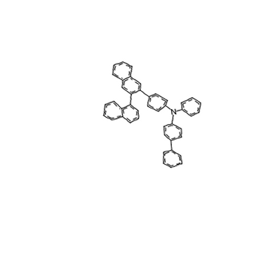 c1ccc(-c2ccc(N(c3ccccc3)c3ccc(-c4cc5ccccc5cc4-c4cccc5ccccc45)cc3)cc2)cc1